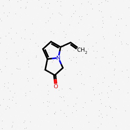 C=Cc1ccc2n1CC(=O)C2